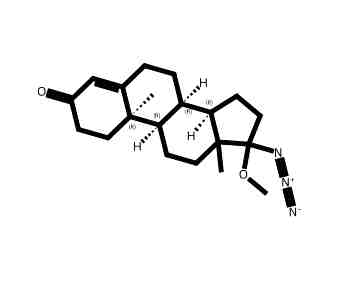 COC1(N=[N+]=[N-])CC[C@@H]2[C@@H]3CCC4=CC(=O)CC[C@]4(C)[C@@H]3CCC21C